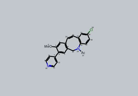 COc1cc2c(cc1-c1ccncc1)CN(C(C)=O)c1ccc(Cl)cc1C=C2